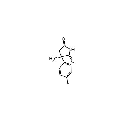 CC1(c2ccc(F)cc2)CC(=O)NC1=O